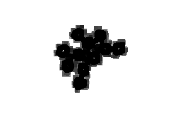 c1ccc(-c2ccc(N3c4cc(N(c5ccccc5)c5ccccc5)ccc4B4c5cc(-c6ccccc6)cc6c5N(c5ccc(-c7ccccc7)cc5-c5ccccc5-6)c5cccc3c54)cc2)cc1